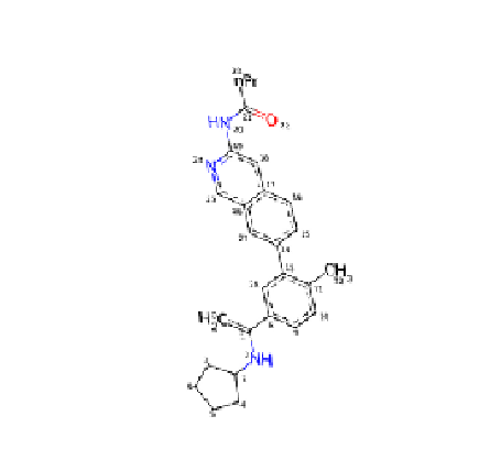 C=C(NC1CCCC1)c1ccc(C)c(-c2ccc3cc(NC(=O)CCC)ncc3c2)c1